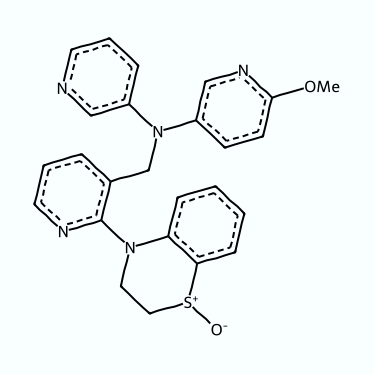 COc1ccc(N(Cc2cccnc2N2CC[S+]([O-])c3ccccc32)c2cccnc2)cn1